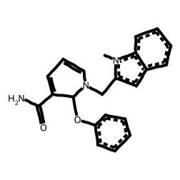 Cn1c(CN2C=CC=C(C(N)=O)C2Oc2ccccc2)cc2ccccc21